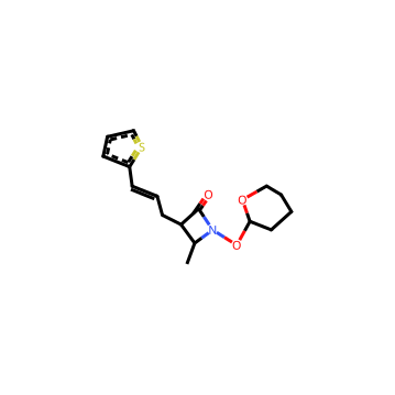 CC1C(C/C=C/c2cccs2)C(=O)N1OC1CCCCO1